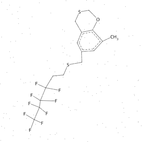 Cc1cc(CSCCC(F)(F)C(F)(F)C(F)(F)C(F)(F)F)cc2c1OCSC2